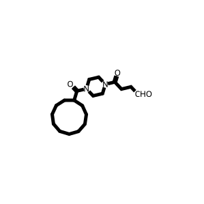 O=CCCC(=O)N1CCN(C(=O)C2CCCCCCCCCC2)CC1